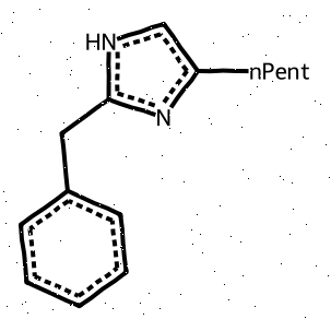 CCCCCc1c[nH]c(Cc2ccccc2)n1